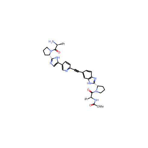 COC(=O)N[C@H](C(=O)N1CCC[C@H]1c1nc2ccc(C#Cc3ccc(-c4cnc([C@@H]5CCCN5C(=O)[C@@H](N)C(C)C)[nH]4)cn3)cc2[nH]1)C(C)C